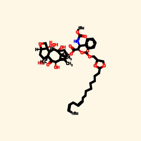 CCCC/C=C\C/C=C\CCCCCCCCC1OCC(COC(=O)O[C@@H](C(=O)O[C@H]2C[C@@]3(O)[C@@H](O)[C@@H]4[C@]5(O)CO[C@@H]5C[C@H](O)[C@@]4(C)C(=O)[C@H](O)C(=C2C)C3(C)C)[C@@H](NC(=O)OC(C)(C)C)c2ccccc2)O1